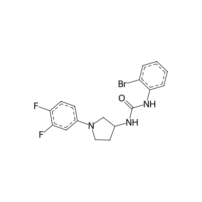 O=C(Nc1ccccc1Br)NC1CCN(c2ccc(F)c(F)c2)C1